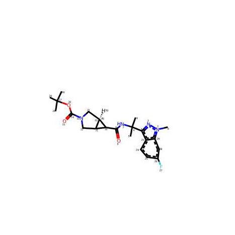 Cn1nc(C(C)(C)NC(=O)C2C3CN(C(=O)OC(C)(C)C)C[C@H]32)c2ccc(F)cc21